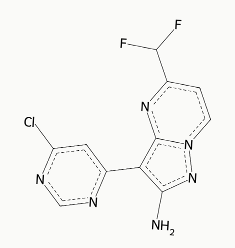 Nc1nn2ccc(C(F)F)nc2c1-c1cc(Cl)ncn1